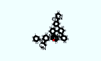 c1ccc(-n2c3ccncc3c3cc(-n4c5ccccc5c5c(-c6c(-c7ccc8oc9cccnc9c8c7)ccc7c8ccccc8n(-c8ccccc8)c67)cccc54)ccc32)cc1